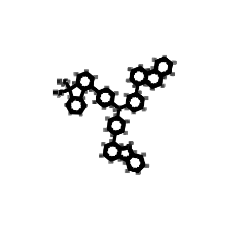 CC1(C)c2ccccc2-c2c(-c3ccc(N(c4ccc(-c5cccc6c5oc5ccccc56)cc4)c4cccc(-c5cccc6c5ccc5ccccc56)c4)cc3)cccc21